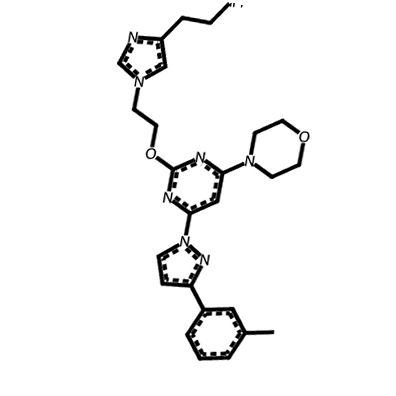 Cc1cccc(-c2ccn(-c3cc(N4CCOCC4)nc(OCCn4cnc(CCC(C)C)c4)n3)n2)c1